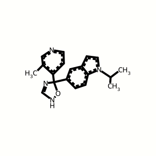 Cc1cnccc1C1(c2ccc3c(ccn3C(C)C)c2)N=CNO1